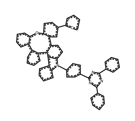 c1ccc(-c2ccc3oc4ccccc4c4ccccc4c4c(ccc5c4c4ccccc4n5-c4ccc(-c5nc(-c6ccccc6)nc(-c6ccccc6)n5)cc4)c3c2)cc1